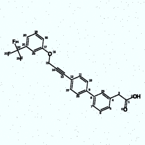 O=C(O)Cc1cccc(-c2ccc(C#CCOc3cccc(C(F)(F)F)c3)cc2)c1